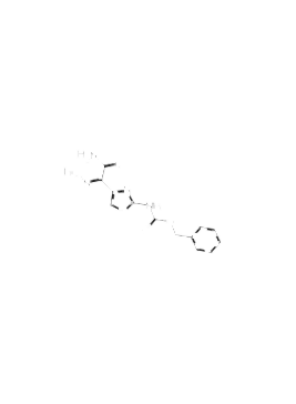 NC(=O)C(=NO)c1csc(NC(=O)OCc2ccccc2)n1